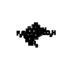 Nc1nc(O[C@H](c2ccc(-c3cncnc3)cc2)C(F)(F)F)cc(N2CCC3(CC2)CN[C@H](C(=O)O)C3)n1